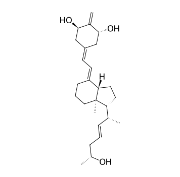 C=C1[C@H](O)CC(=C/C=C2\CCC[C@]3(C)[C@@H]([C@H](C)/C=C/C[C@@H](C)O)CC[C@@H]23)C[C@H]1O